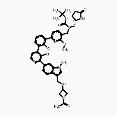 COc1nc(-c2cccc(-c3ccnc(-c4ccc5c(CNC6CN(C(C)=O)C6)cn(C)c5c4)c3Cl)c2Cl)ccc1CN(C[C@@H]1CCC(=O)N1)C(=O)OC(C)(C)C